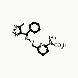 Cc1nsnc1C(=NOCc1cccc(N(C(=O)O)C(C)(C)C)n1)c1ccccc1